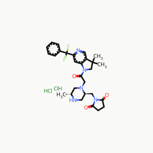 C[C@@H]1CN(CC(=O)N2CC(C)(C)c3cnc(C(F)(F)c4ccccc4)cc32)[C@@H](CN2C(=O)CCC2=O)CN1.Cl.Cl